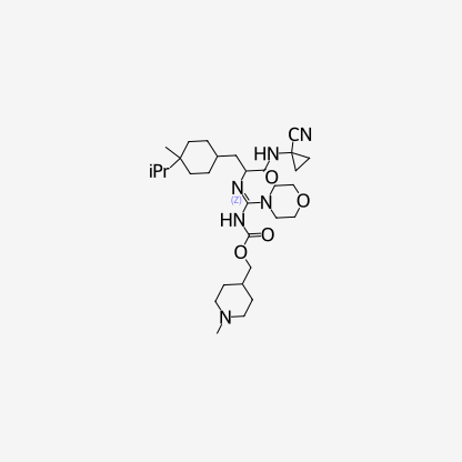 CC(C)C1(C)CCC(CC(/N=C(/NC(=O)OCC2CCN(C)CC2)N2CCOCC2)C(=O)NC2(C#N)CC2)CC1